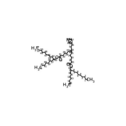 CCCCCCCCCC(CCCCCCC)COC(=O)CCCCCN(CCCCCC(=O)OCC(CCCCCCC)CCCCCCCCC)CCCn1ccnc1